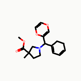 COC(=O)C1(C)CCN(C(C2=CC=CCC2)C2=COC=CO2)C1